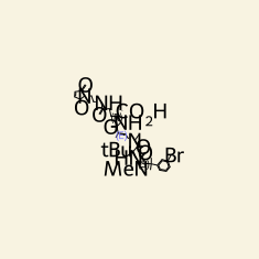 CN[C@H](C(=O)NC(C(=O)N(C)C/C=C(\C)C(=O)N[C@H](CCC(=O)NCCN1C(=O)C=CC1=O)C(=O)O)C(C)(C)C)C(C)(C)c1cccc(Br)c1